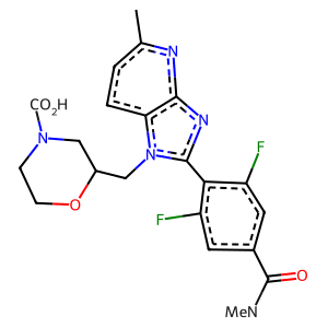 CNC(=O)c1cc(F)c(-c2nc3nc(C)ccc3n2CC2CN(C(=O)O)CCO2)c(F)c1